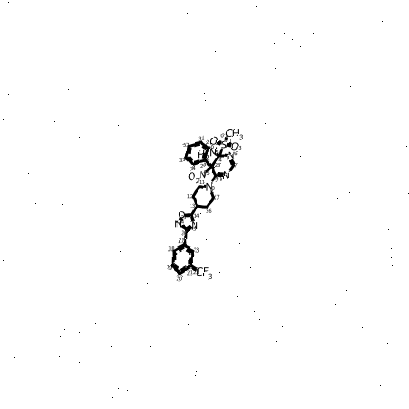 CS(=O)(=O)C1(N)N=CN=C(N2CCC(c3nc(-c4cccc(C(F)(F)F)c4)no3)CC2)C1(c1ccccc1)[N+](=O)[O-]